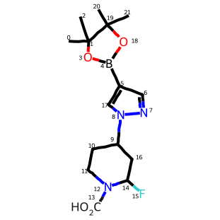 CC1(C)OB(c2cnn(C3CCN(C(=O)O)C(F)C3)c2)OC1(C)C